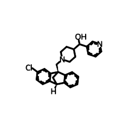 OC(c1cccnc1)C1CCN(C[C@]23C[C@H](c4ccccc42)c2ccc(Cl)cc23)CC1